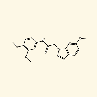 COc1ccc2ncn(CC(=O)Nc3ccc(OC)c(OC)c3)c2n1